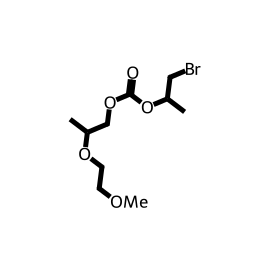 COCCOC(C)COC(=O)OC(C)CBr